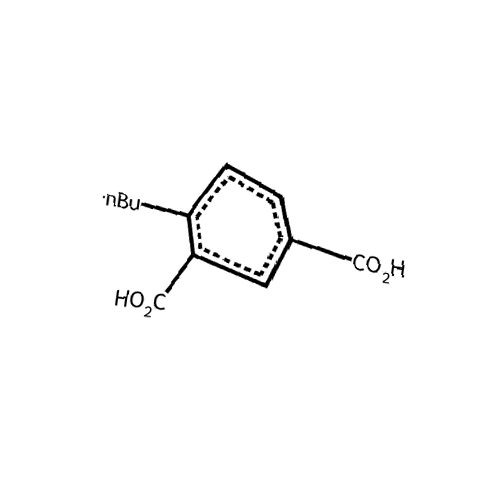 CCC[CH]c1ccc(C(=O)O)cc1C(=O)O